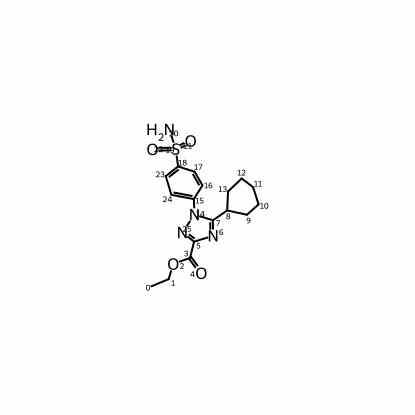 CCOC(=O)c1nc(C2CCCCC2)n(-c2ccc(S(N)(=O)=O)cc2)n1